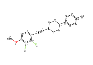 CCCCOc1ccc(C#CC2CCC(c3ccc(CC)cc3)CC2)c(F)c1F